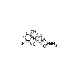 [C-]#[N+]c1c(F)ccc(C)c1N1CCN(CC(N)=O)CC1